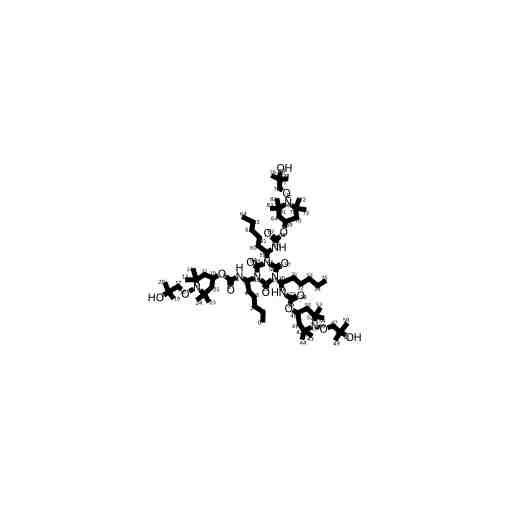 CCCCCC(NC(=O)OC1CC(C)(C)N(OCC(C)(C)O)C(C)(C)C1)n1c(=O)n(C(CCCCC)NC(=O)OC2CC(C)(C)N(OCC(C)(C)O)C(C)(C)C2)c(=O)n(C(CCCCC)NC(=O)OC2CC(C)(C)N(OCC(C)(C)O)C(C)(C)C2)c1=O